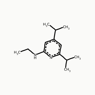 CCNc1cc(C(C)C)cc(C(C)C)n1